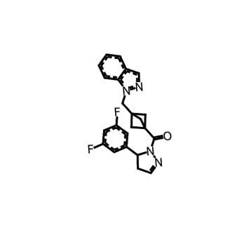 O=C(N1N=CCC1c1cc(F)cc(F)c1)C12CC(Cn3ncc4ccccc43)(C1)C2